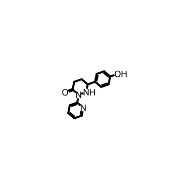 O=C1CCC(c2ccc(O)cc2)NN1c1ccccn1